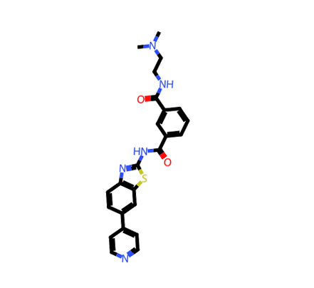 CN(C)CCNC(=O)c1cccc(C(=O)Nc2nc3ccc(-c4ccncc4)cc3s2)c1